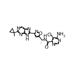 C[C@@H](NC(=O)c1ncnc(N)c1Cl)c1cc(-c2nc3cnc(C4(C)CC4)nc3[nH]2)no1